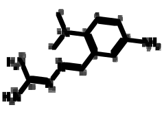 CN(C)c1ccc(N)cc1C=NN=C(N)N